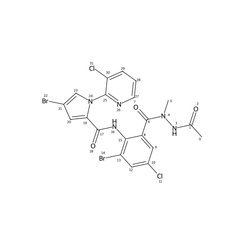 CC(=O)NN(C)C(=O)c1cc(Cl)cc(Br)c1NC(=O)c1cc(Br)cn1-c1ncccc1Cl